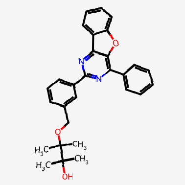 CC(C)(O)C(C)(C)OCc1cccc(-c2nc(-c3ccccc3)c3oc4ccccc4c3n2)c1